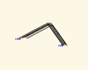 C.C.C.C.C.C.C.C.C.C.C.C.C.C.C.C.C.C.C.C.C.C.C.C.C.C.C.C.C.C.C.C.C.C.C.C.C.C.C.C.C.C.C.C.C.C.C.C.N=C=O.N=C=O